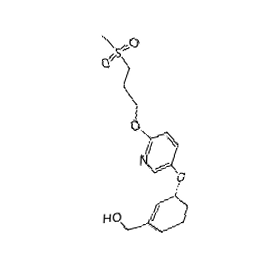 CS(=O)(=O)CCCOc1ccc(OC2C=C(CO)CCC2)cn1